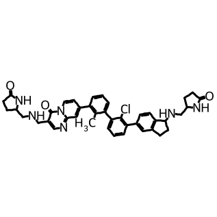 Cc1c(-c2ccn3c(=O)c(CNCC4CCC(=O)N4)cnc3c2)cccc1-c1cccc(-c2ccc3c(c2)CCC3NCC2CCC(=O)N2)c1Cl